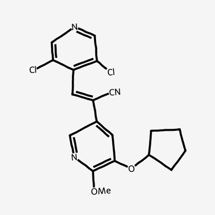 COc1ncc(C(C#N)=Cc2c(Cl)cncc2Cl)cc1OC1CCCC1